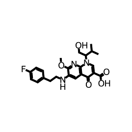 COc1nc2c(cc1NCCc1ccc(F)cc1)c(=O)c(C(=O)O)cn2C(CO)C(C)C